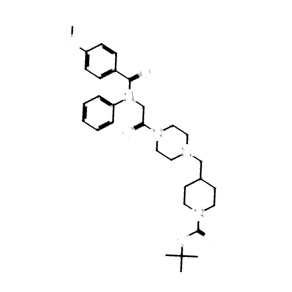 COc1ccc(C(=O)N(CC(=O)N2CCN(CC3CCN(C(=O)OC(C)(C)C)CC3)CC2)c2ccccc2)cc1